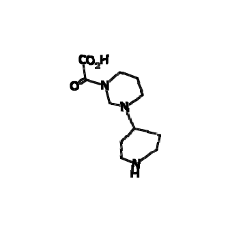 O=C(O)C(=O)N1CCCN(C2CCNCC2)C1